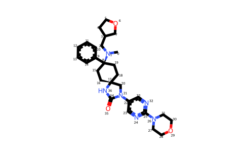 CN(CC1CCOC1)[C@]1(c2ccccc2)CC[C@@]2(CC1)CN(c1cnc(N3CCOCC3)nc1)C(=O)N2